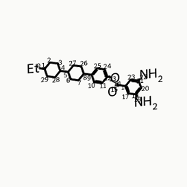 CCC1CCC(C2CCC(c3ccc(OC(=O)c4cc(N)cc(N)c4)cc3)CC2)CC1